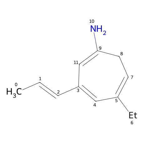 CC=CC1=CC(CC)=CCC(N)=C1